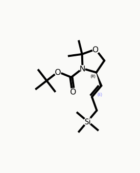 CC(C)(C)OC(=O)N1[C@H](/C=C/C[Si](C)(C)C)COC1(C)C